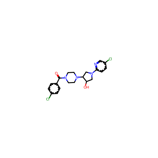 O=C(c1ccc(Cl)cc1)N1CCN(C2CN(c3ccc(Cl)cn3)CC2O)CC1